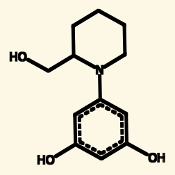 OCC1CCCCN1c1cc(O)cc(O)c1